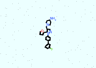 NC1CCN(Cc2cnn(-c3ccc(-c4cccc(F)c4)cc3)c2-c2ccco2)CC1